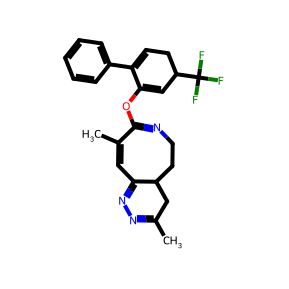 CC1=NN=C2/C=C(C)\C(OC3=CC(C(F)(F)F)CC=C3c3ccccc3)=N/CCC2C1